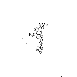 CNC(=O)c1csc2c(C(F)(F)F)c(Cl)c(OC3CC4(C3)CN(C(=O)O[C@@H](C)C3CC3)C4)nc12